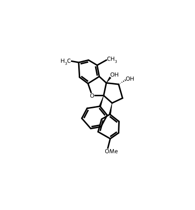 COc1ccc([C@@H]2C[C@@H](O)[C@@]3(O)c4c(C)cc(C)cc4O[C@@]23c2ccccc2)cc1